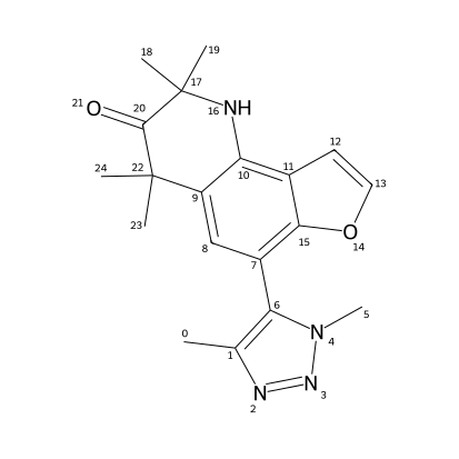 Cc1nnn(C)c1-c1cc2c(c3ccoc13)NC(C)(C)C(=O)C2(C)C